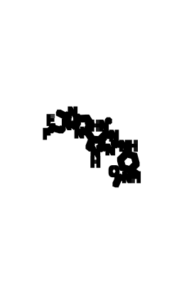 CNc1nc(NC2CCC(C)(NC(C)=O)CC2)nc2[nH]cc(-c3ccc4nc(C)n(CC(F)F)c4n3)c12